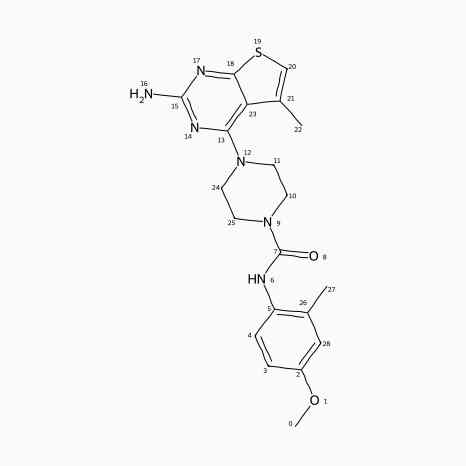 COc1ccc(NC(=O)N2CCN(c3nc(N)nc4scc(C)c34)CC2)c(C)c1